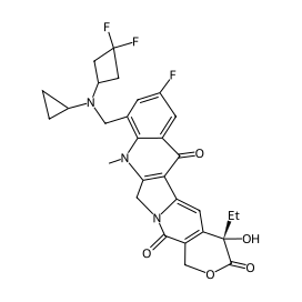 CC[C@@]1(O)C(=O)OCc2c1cc1n(c2=O)Cc2c-1c(=O)c1cc(F)cc(CN(C3CC3)C3CC(F)(F)C3)c1n2C